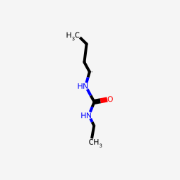 CCC[CH]NC(=O)NCC